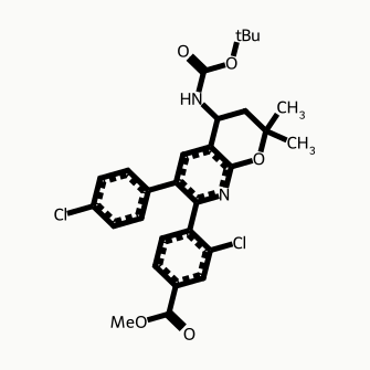 COC(=O)c1ccc(-c2nc3c(cc2-c2ccc(Cl)cc2)C(NC(=O)OC(C)(C)C)CC(C)(C)O3)c(Cl)c1